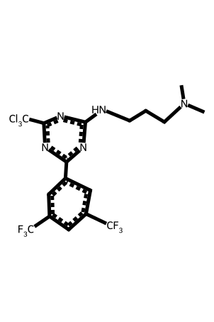 CN(C)CCCNc1nc(-c2cc(C(F)(F)F)cc(C(F)(F)F)c2)nc(C(Cl)(Cl)Cl)n1